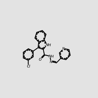 O=C(N/N=C\c1cccnc1)c1[nH]c2ccccc2c1-c1cccc(Cl)c1